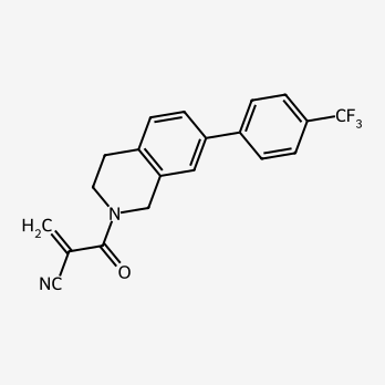 C=C(C#N)C(=O)N1CCc2ccc(-c3ccc(C(F)(F)F)cc3)cc2C1